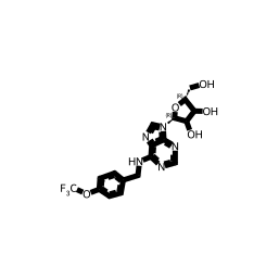 OC[C@H]1O[C@@H](n2cnc3c(NCc4ccc(OC(F)(F)F)cc4)ncnc32)C(O)C1O